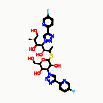 CC(S[C@@H]1OC(CO)[C@H](O)C(n2cc(-c3ccc(F)cn3)nn2)[C@@H]1O)[C@H](O)C(C(O)[C@H](C)CO)n1cc(-c2ccc(F)cn2)nn1